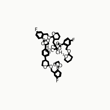 CC1(C)OB(c2ccc(F)cc2COC2CCCCO2)OC1(C)CC1CCCOC1OCc1cc(F)ccc1B1OCC(c2ccc(C3CCOC(OCc4cc(F)ccc4B4OCCO4)C3)cc2)O1